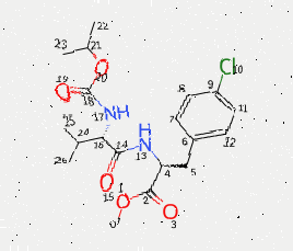 COC(=O)[C@H](Cc1ccc(Cl)cc1)NC(=O)[C@@H](NC(=O)OC(C)C)C(C)C